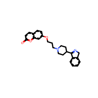 O=c1ccc2ccc(OCCCN3CCC(C4=NCc5ccccc54)CC3)cc2o1